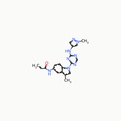 C=CC(=O)Nc1ccc2c(c1)c(C)cn2-c1ncnc(Nc2cnn(C)c2)n1